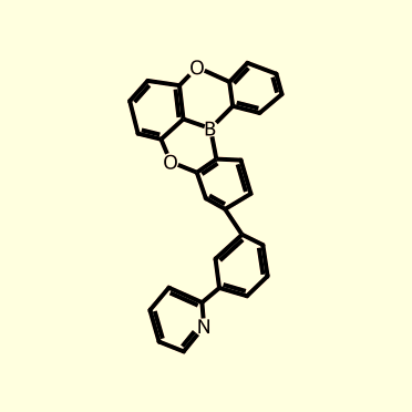 c1ccc(-c2cccc(-c3ccc4c(c3)Oc3cccc5c3B4c3ccccc3O5)c2)nc1